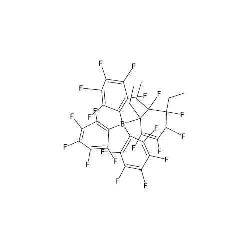 CCC1(F)C(F)C(F)=C(F)C(CC)([B-](c2c(F)c(F)c(F)c(F)c2F)(c2c(F)c(F)c(F)c(F)c2F)c2c(F)c(F)c(F)c(F)c2F)C1(F)CC